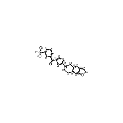 CS(=O)(=O)c1cccc(C(=O)c2cnc(N3CCc4cc5c(cc4C3)OCO5)s2)c1